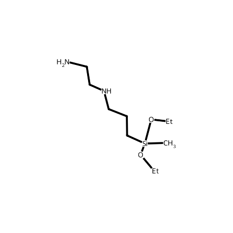 CCO[Si](C)(CCCNCCN)OCC